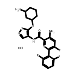 Cl.Nc1cc(F)c(-c2c(F)cccc2F)nc1C(=O)Nc1cnsc1OC1CCCC(N)C1